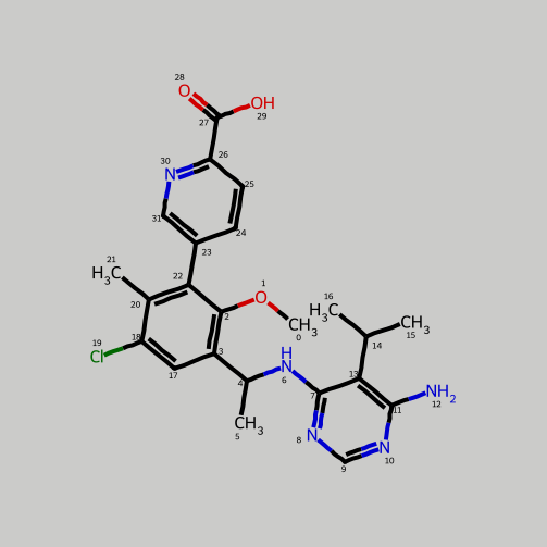 COc1c(C(C)Nc2ncnc(N)c2C(C)C)cc(Cl)c(C)c1-c1ccc(C(=O)O)nc1